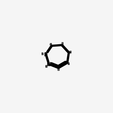 C1=CCCCSN=1